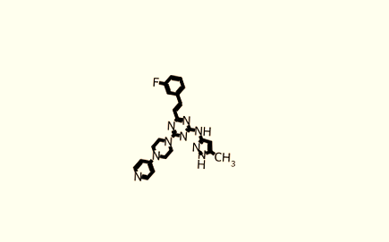 Cc1cc(Nc2nc(/C=C/c3cccc(F)c3)nc(N3CCN(c4ccncc4)CC3)n2)n[nH]1